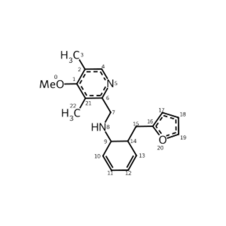 COc1c(C)cnc(CNC2C=CC=CC2Cc2ccco2)c1C